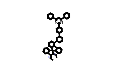 C/C=C1\C(=C/C)C2(c3ccccc31)c1ccccc1-c1c(C3C=CC=C(c4ccc(-c5nc(-c6ccccc6)cc(-c6ccccc6)n5)cc4)C3)cccc12